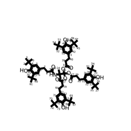 CC(C)(C)c1cc(CCC(=O)NC(C)(C)C(OC(=O)CCc2cc(C(C)(C)C)c(O)c(C(C)(C)C)c2)(OC(=O)CCc2cc(C(C)(C)C)c(O)c(C(C)(C)C)c2)OC(=O)CCc2cc(C(C)(C)C)c(O)c(C(C)(C)C)c2)cc(C(C)(C)C)c1O